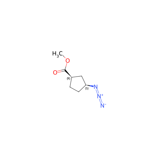 COC(=O)[C@@H]1CC[C@H](N=[N+]=[N-])C1